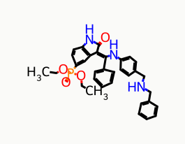 CCOP(=O)(OCC)c1ccc2c(c1)/C(=C(/Nc1ccc(CNCc3ccccc3)cc1)c1ccccc1)C(=O)N2